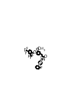 COc1cc(/C=C2\SC(N3CCN(c4ccccc4F)CC3)=NC2=O)ccc1OCc1ccc(C(F)(F)F)cc1C(F)(F)F